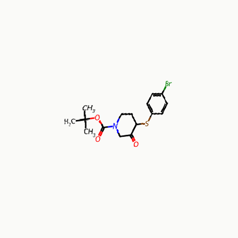 CC(C)(C)OC(=O)N1CCC(Sc2ccc(Br)cc2)C(=O)C1